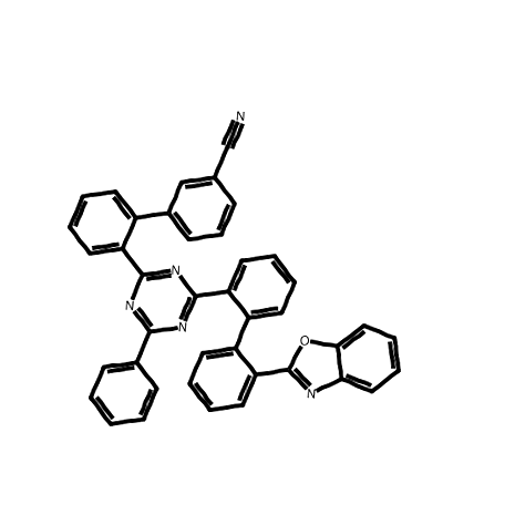 N#Cc1cccc(-c2ccccc2-c2nc(-c3ccccc3)nc(-c3ccccc3-c3ccccc3-c3nc4ccccc4o3)n2)c1